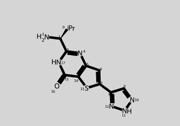 CC(C)[C@H](N)c1nc2cc(-c3cn[nH]n3)sc2c(=O)[nH]1